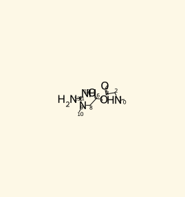 CNCC(=O)OC(=O)CN(C)C(=N)N